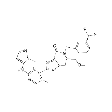 COCC1Cn2cc(-c3nc(Nc4ccnn4C)ncc3C)nc2C(=O)N1Cc1cccc(C(F)F)c1